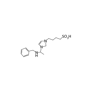 CC(NCc1ccccc1)N1C=CN(CCCCS(=O)(=O)O)C1